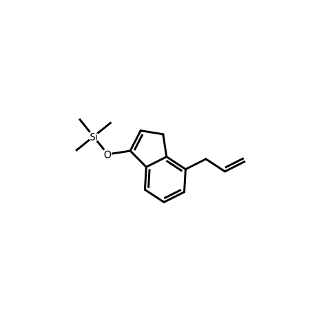 C=CCc1cccc2c1CC=C2O[Si](C)(C)C